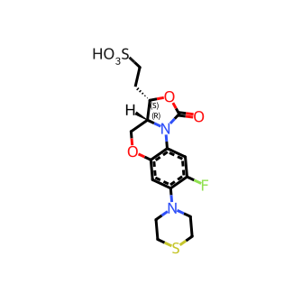 O=C1O[C@@H](CCS(=O)(=O)O)[C@H]2COc3cc(N4CCSCC4)c(F)cc3N12